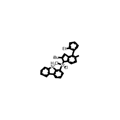 CCc1ccccc1-c1c(C)ccc2c1C=C(C(C)CC)[CH]2[Zr]([Cl])([Cl])[c]1cccc2c1[SiH2]c1ccccc1-2